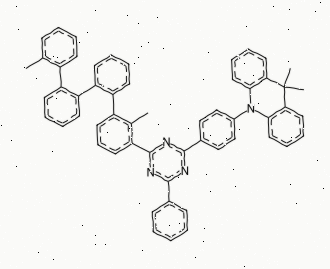 Cc1ccccc1-c1ccccc1-c1ccccc1-c1cccc(-c2nc(-c3ccccc3)nc(-c3ccc(N4c5ccccc5C(C)(C)c5ccccc54)cc3)n2)c1C